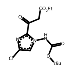 CCOC(=O)CC(=O)c1nc(Cl)cn1NC(=O)OC(C)(C)C